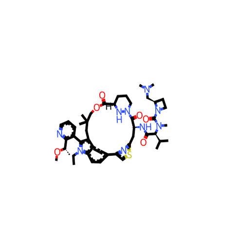 CCn1c(-c2cccnc2[C@H](C)OC)c2c3cc(ccc31)-c1csc(n1)C[C@H](NC(=O)[C@H](C(C)C)N(C)C(=O)N1CC[C@@H]1CN(C)C)C(=O)N1CCC[C@H](N1)C(=O)OCC(C)(C)C2